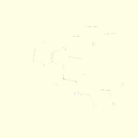 COc1ccc2c(c1)c(C(=O)C(=O)Nc1ccnc(O)c1)c(C)n2Cc1ccc(Cl)cc1